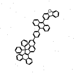 c1ccc(C2(c3ccccc3)c3c(ccc4cc(-c5ccc(-c6c7ccccc7c(-c7ccc8oc9ccccc9c8c7)c7ccccc67)cc5)ccc34)-c3c2c2ccccc2c2ccccc32)cc1